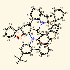 CC(C)(C)c1ccc(N2c3ccc4sc5ccccc5c4c3B3c4c(cc5c(oc6ccccc65)c42)-c2cccc4c5c6ccccc6sc5n3c24)c(-c2ccccc2)c1